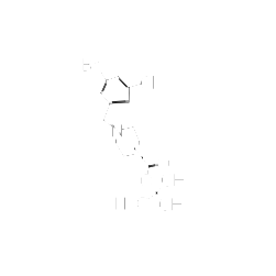 CC(C)(C)OC(=O)N1CCN(Cc2cc(Cl)cc(Br)c2)CC1